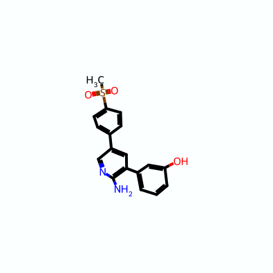 CS(=O)(=O)c1ccc(-c2cnc(N)c(-c3cccc(O)c3)c2)cc1